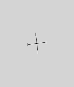 IC(I)(I)I